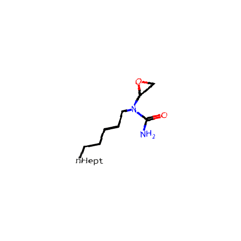 CCCCCCCCCCCCN(C(N)=O)C1CO1